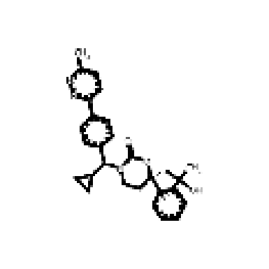 Cc1ccc(-c2ccc(C(C3CC3)N3CC[C@](CC(C)(C)O)(c4ccccc4)OC3=O)cc2)nn1